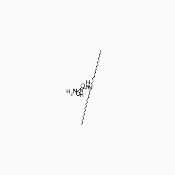 CCCCCCCCCCCCCCCCCCN(CCCCCCCCCCCCCCCCCC)NCC(=O)NCC(N)=O